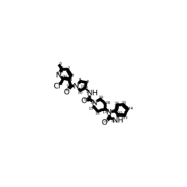 Cc1ccc(C(=O)N2CC[C@@H](NC(=O)N3CCC(n4c(=O)[nH]c5ccccc54)CC3)C2)c(Cl)n1